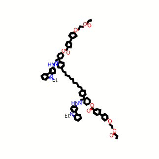 C=CC(=O)OCCCOc1ccc(-c2ccc(C(=O)OC3CCC(/C=N/Nc4ccc5c(c4)c4ccccc4n5CC)(c4ccc(CCCCCCCCCCc5ccc(C6(/C=N/Nc7ccc8c(c7)c7ccccc7n8CC)CCC(OC(=O)c7ccc(-c8ccc(OCCCOC(=O)C=C)cc8)cc7)CC6)cc5)cc4)CC3)cc2)cc1